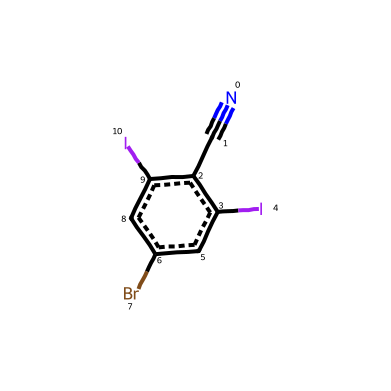 N#Cc1c(I)cc(Br)cc1I